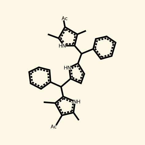 CC(=O)c1c(C)[nH]c(C(c2ccccc2)c2ccc(C(c3ccccc3)c3[nH]c(C)c(C(C)=O)c3C)[nH]2)c1C